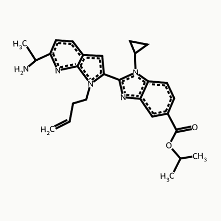 C=CCCn1c(-c2nc3cc(C(=O)OC(C)C)ccc3n2C2CC2)cc2ccc(C(C)N)nc21